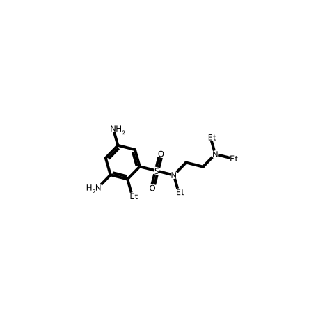 CCc1c(N)cc(N)cc1S(=O)(=O)N(CC)CCN(CC)CC